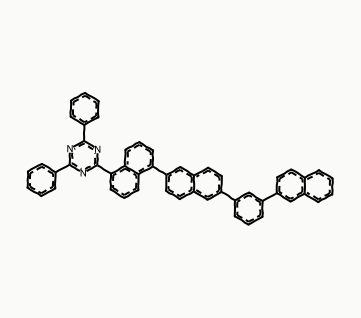 c1ccc(-c2nc(-c3ccccc3)nc(-c3cccc4c(-c5ccc6cc(-c7cccc(-c8ccc9ccccc9c8)c7)ccc6c5)cccc34)n2)cc1